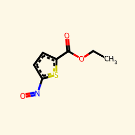 CCOC(=O)c1ccc(N=O)s1